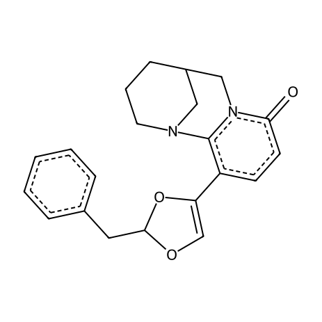 O=c1ccc(C2=COC(Cc3ccccc3)O2)c2n1CC1CCCN2C1